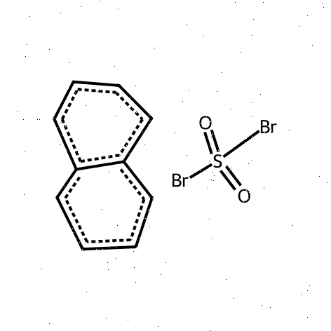 O=S(=O)(Br)Br.c1ccc2ccccc2c1